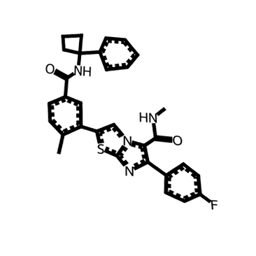 CNC(=O)c1c(-c2ccc(F)cc2)nc2sc(-c3cc(C(=O)NC4(c5ccccc5)CCC4)ccc3C)cn12